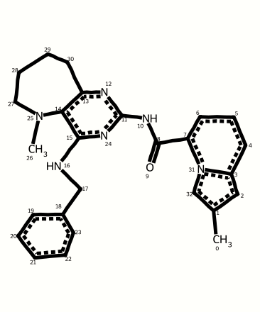 Cc1cc2cccc(C(=O)Nc3nc4c(c(NCc5ccccc5)n3)N(C)CCCC4)n2c1